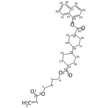 C=CC(=O)OCCCCOC(=O)C1CCC(C2CCC(C(=O)Oc3cccc4ccccc34)CC2)CC1